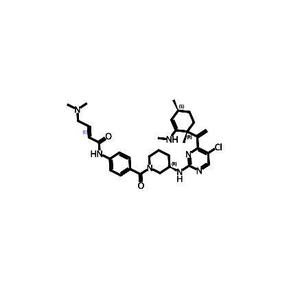 C=C(c1nc(N[C@@H]2CCCN(C(=O)c3ccc(NC(=O)/C=C/CN(C)C)cc3)C2)ncc1Cl)[C@@]1(C)CC[C@H](C)C=C1NC